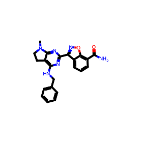 CN1CCc2c(NCc3ccccc3)nc(-c3noc4c(C(N)=O)cccc34)nc21